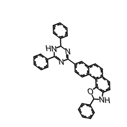 c1ccc(C2=NC(c3ccc4c(ccc5ccc6c(c54)OC(c4ccccc4)N6)c3)=NC(c3ccccc3)N2)cc1